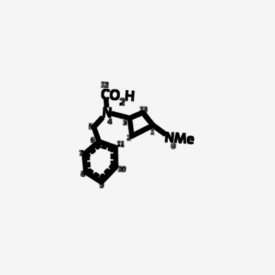 CNC1CC(N(Cc2ccccc2)C(=O)O)C1